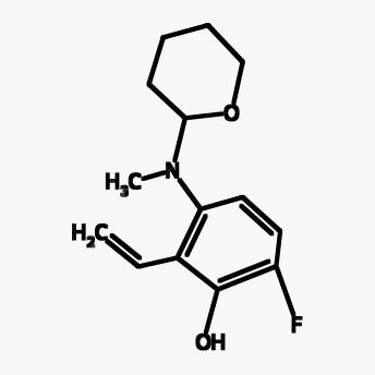 C=Cc1c(N(C)C2CCCCO2)ccc(F)c1O